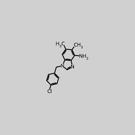 Cc1cc2c(ncn2Cc2ccc(Cl)cc2)c(N)c1C